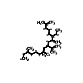 CCC(C)CCCC(C)CC(CC(C)N(CC)CCCC(C)C)C(C)C